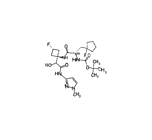 Cn1ccc(NC(=O)C(O)[C@]2(NC(=O)[C@H](CC3(F)CCCC3)NC(=O)OC(C)(C)C)C[C@H](F)C2)n1